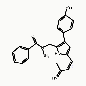 CC(C)(C)c1ccc(-c2nc(/C=C\C(=N)F)[nH]c2CN(N)C(=O)c2ccccc2)cc1